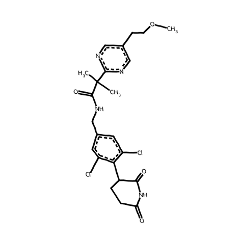 COCCc1cnc(C(C)(C)C(=O)NCc2cc(Cl)c(C3CCC(=O)NC3=O)c(Cl)c2)nc1